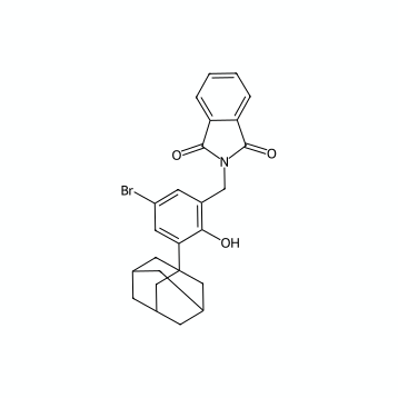 O=C1c2ccccc2C(=O)N1Cc1cc(Br)cc(C23CC4CC(CC(C4)C2)C3)c1O